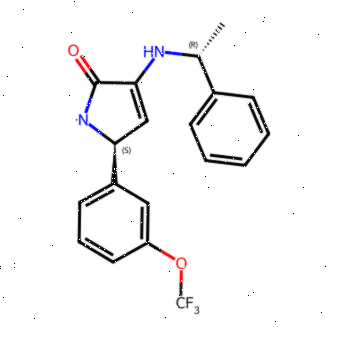 C[C@@H](NC1=C[C@@H](c2cccc(OC(F)(F)F)c2)[N]C1=O)c1ccccc1